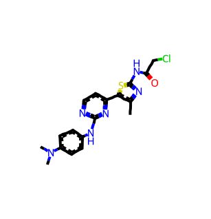 Cc1nc(NC(=O)CCl)sc1-c1ccnc(Nc2ccc(N(C)C)cc2)n1